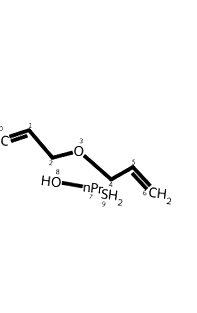 C=CCOCC=C.CCCO.S